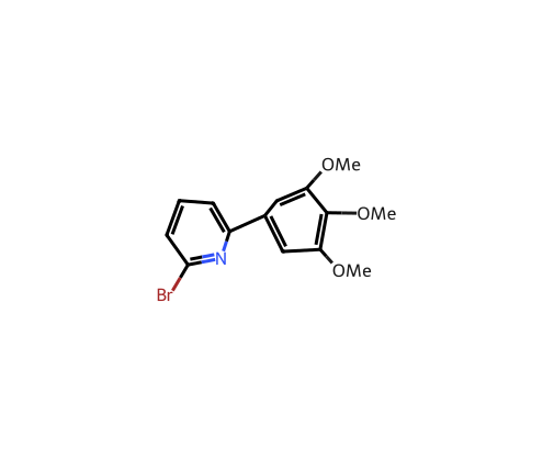 COc1cc(-c2cccc(Br)n2)cc(OC)c1OC